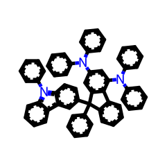 c1ccc(N(c2ccccc2)c2cc(N(c3ccccc3)c3ccccc3)c3c(c2)C(c2ccccc2)(c2ccc4c(c2)c2ccccc2n4-c2ccccc2)c2ccccc2-3)cc1